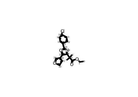 CCOC(=O)C(C)(C)c1nc(-c2ccc(Cl)cc2)oc1-c1ccoc1